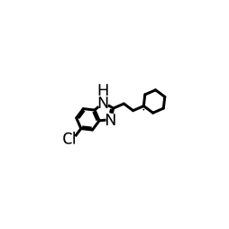 Clc1ccc2[nH]c(CC[C]3CCCCC3)nc2c1